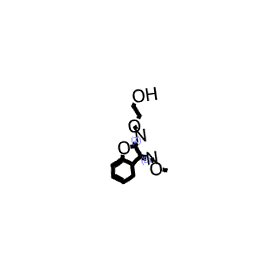 CO/N=C1/C(=N/OCCO)OC2=CC=CCC21